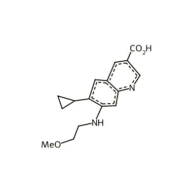 COCCNc1cc2ncc(C(=O)O)cc2cc1C1CC1